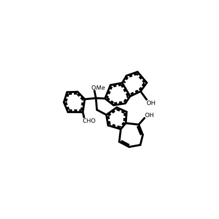 COC(Cc1ccc2c(c1)C=CCC=C2O)(c1ccc2c(O)cccc2c1)c1ccccc1C=O